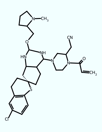 C=CC(=O)N1CCN(C2NC(OCC3CCCN3C)NC3C[C@]4(CCc5cc(Cl)ccc5S4)CCC32)CC1CC#N